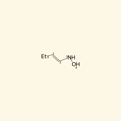 CCC=CNO